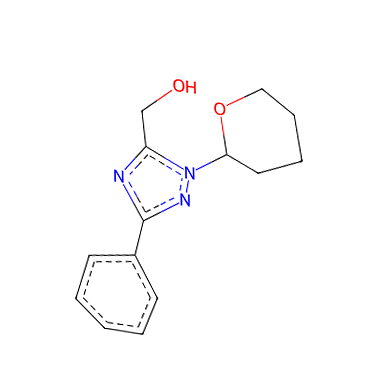 OCc1nc(-c2ccccc2)nn1C1CCCCO1